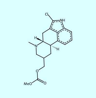 COC(=O)OCC1C[C@@H]2c3cccc4[nH]c(Cl)c(c34)C[C@H]2N(C)C1